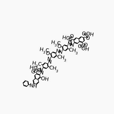 COc1cc(N=Nc2cc(C)c(N=Nc3cc4c(S(=O)(=O)O)cc(S(=O)(=O)O)cc4cc3S(=O)(=O)O)cc2OC)c(C)cc1N=Nc1cc(C)c(N=Nc2c(S(=O)(=O)O)cc3cc(Nc4ccccc4)ccc3c2O)cc1C